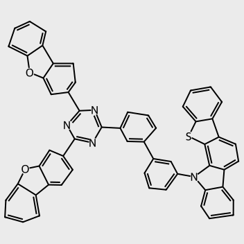 c1cc(-c2cccc(-n3c4ccccc4c4ccc5c6ccccc6sc5c43)c2)cc(-c2nc(-c3ccc4c(c3)oc3ccccc34)nc(-c3ccc4c(c3)oc3ccccc34)n2)c1